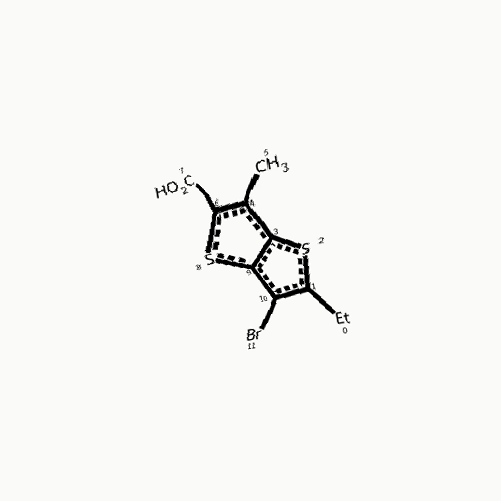 CCc1sc2c(C)c(C(=O)O)sc2c1Br